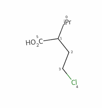 CC(C)C(CCCl)C(=O)O